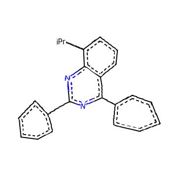 CC(C)c1cccc2c(-c3ccccc3)nc(-c3ccccc3)nc12